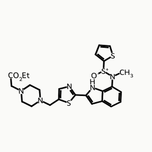 CCOC(=O)CN1CCN(Cc2cnc(-c3cc4cccc(N(C)[S+]([O-])c5cccs5)c4[nH]3)s2)CC1